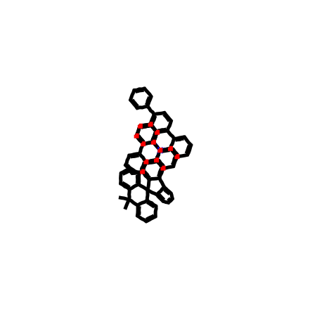 CC1(C)c2ccccc2C2(c3ccccc3-c3cc(N(c4ccccc4-c4ccc(-c5ccccc5)cc4)c4ccccc4-c4ccccc4-c4ccccc4-c4ccccc4)ccc32)c2ccccc21